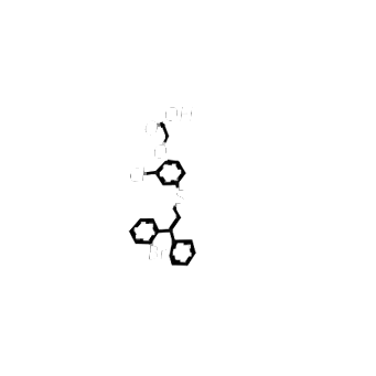 O=C(O)COc1ccc(SCC=C(c2ccccc2)c2ccccc2Br)cc1Cl